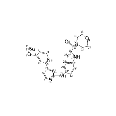 CCCCOc1ccnc(-c2ccnc(Nc3ccc4[nH]c(C(=O)N5CCOCC5)cc4c3)n2)c1